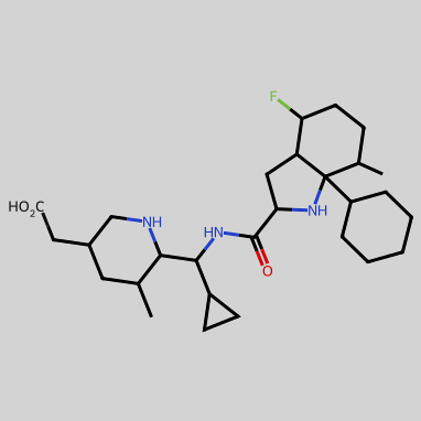 CC1CC(CC(=O)O)CNC1C(NC(=O)C1CC2C(F)CCC(C)C2(C2CCCCC2)N1)C1CC1